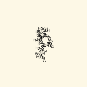 CCC(c1ccc(Cl)cc1)C1NC(=O)CNC(=O)C(CO)NC(=O)C(C(O)C2CNC(=N)N2C2OC(CO)C(O)C(O)C2O)NC(=O)C(C(O)C2CNC(=N)N2)NC(=O)C(Cc2ccc(OC3OC(CO)C(OC4OC5COC(C6CCCCC6)OC5C(O)C4O)C(O)C3O)cc2)NC1=O